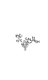 CC(C)C[C@H](N)C(=O)OC[C@H]1O[C@@H](n2ccc(NO)nc2=O)[C@@H]2OC(=O)O[C@@H]21